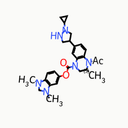 CC(=O)N1c2ccc(C3CNN(C4CC4)C3)cc2N(C(=O)Oc2ccc3c(c2)N(C)CN3C)C[C@@H]1C